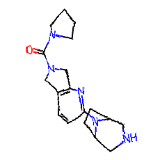 O=C(N1CCCC1)N1Cc2ccc(N3C4CCC3CNC4)nc2C1